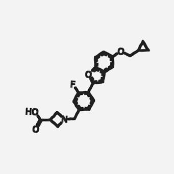 O=C(O)C1CN(Cc2ccc(-c3cc4cc(OCC5CC5)ccc4o3)c(F)c2)C1